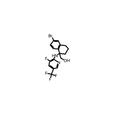 OCC1(Nc2ncc(C(F)(F)F)cc2F)CCCc2cc(Br)ccc21